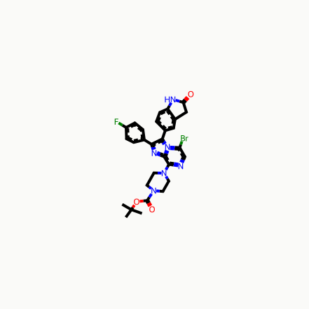 CC(C)(C)OC(=O)N1CCN(c2ncc(Br)n3c(-c4ccc5c(c4)CC(=O)N5)c(-c4ccc(F)cc4)nc23)CC1